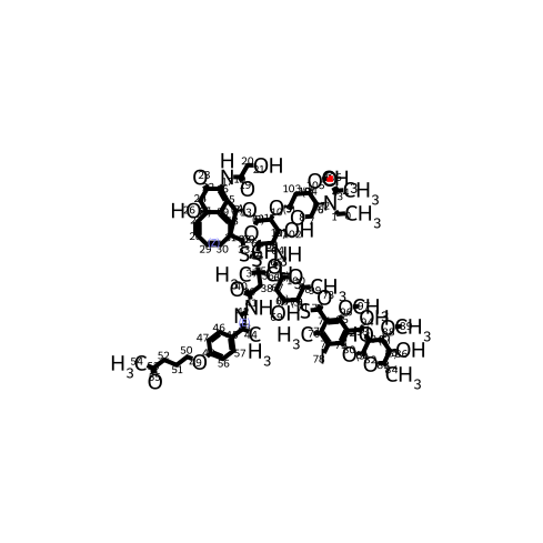 CCN(C(C)=O)[C@H]1CO[C@@H](OC2[C@H](O[C@@H]3C4=C(NC(=O)CO)C(=O)C[C@@]5(O)C#C/C=C\C3(CSSC(C)(C)CC(=O)N/N=C(\C)c3ccc(OCCCC(C)=O)cc3)C=C45)OC(C)[C@@H](NO[C@H]3C[C@@H](O)[C@H](SC(=O)c4c(C)c(I)c(O[C@@H]5OC(C)[C@H](O)[C@H](OC)C5O)c(CO)c4OC)C(C)O3)[C@H]2O)C[C@H]1OC